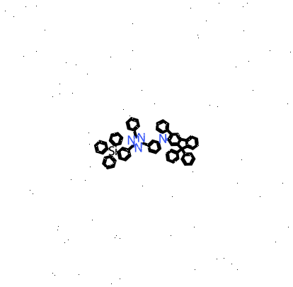 c1ccc(-c2nc(-c3cccc(-n4c5ccccc5c5cc6c(cc54)C(c4ccccc4)(c4ccccc4)c4ccccc4-6)c3)nc(-c3cccc([Si](c4ccccc4)(c4ccccc4)c4ccccc4)c3)n2)cc1